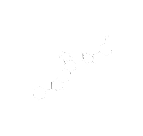 NC1CCCN(c2ccc(-c3nc(Nc4ccc(N5CCOCC5)cc4)nc4[nH]cnc34)cn2)C1